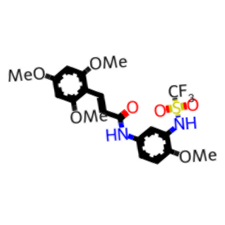 COc1cc(OC)c(/C=C/C(=O)Nc2ccc(OC)c(NS(=O)(=O)C(F)(F)F)c2)c(OC)c1